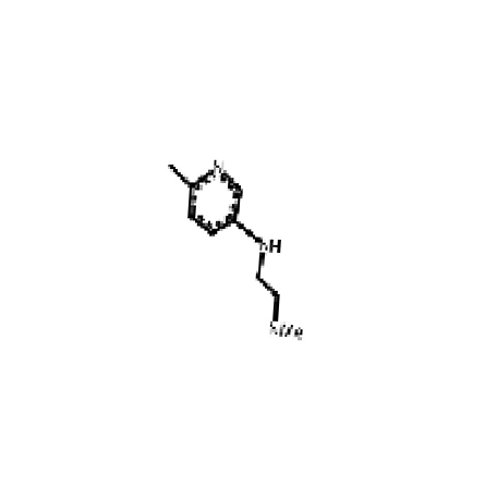 CNCCNc1ccc(C)nc1